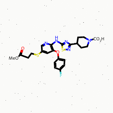 COC(=O)CCSc1cnc(Nc2nc(C3CCN(C(=O)O)CC3)ns2)c(Oc2ccc(F)cc2)c1